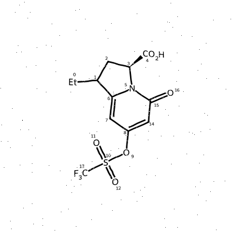 CCC1C[C@@H](C(=O)O)n2c1cc(OS(=O)(=O)C(F)(F)F)cc2=O